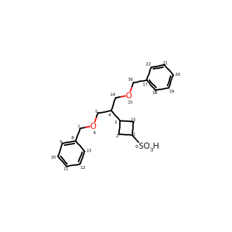 O=S(=O)(O)C1CC(C(COCc2ccccc2)COCc2ccccc2)C1